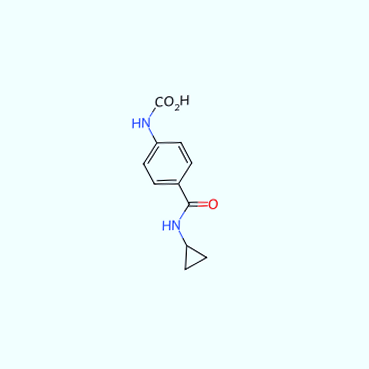 O=C(O)Nc1ccc(C(=O)NC2CC2)cc1